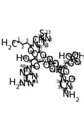 C=CCCC(=O)N(C)[C@H](Cc1cscn1)C(=O)OC1C(COP(=O)(O)O[C@H]2C[C@H](n3ccc(N)nc3=O)O[C@@H]2COP(=O)(O)O)OC(n2cnc3c(N)ncnc32)C1O